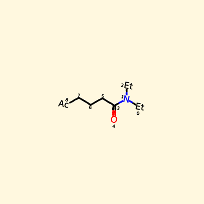 CCN(CC)C(=O)CCCC(C)=O